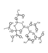 COC(=O)C1(OC(C)=O)CC(OC(C)=O)CC(C(OC(C)=O)C(COC(C)=O)OC(C)=O)O1